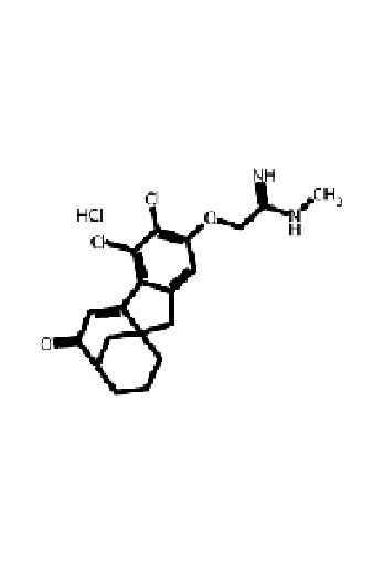 CNC(=N)COc1cc2c(c(Cl)c1Cl)C1=CC(=O)C3CCCC1(C2)C3.Cl